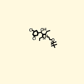 CCc1nn(CCO[Si](C)(C)C(C)(C)C)c(CC)c1C(O)c1cc(Cl)cc(Cl)c1